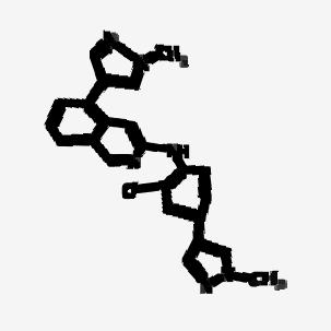 Cn1cc(-c2ccc(Nc3cc4c(-c5cnn(C)c5)cccc4cn3)c(Cl)c2)cn1